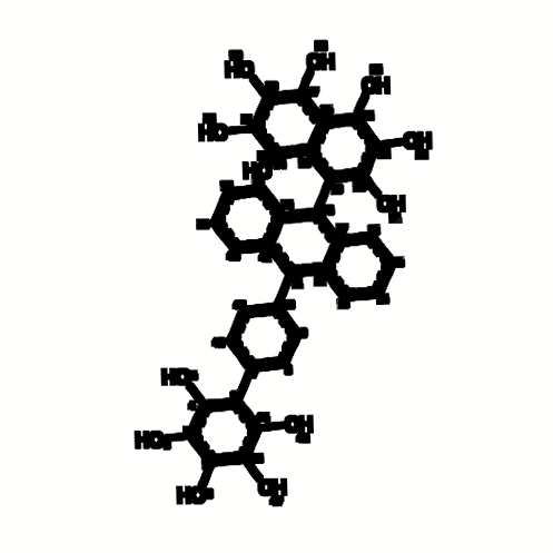 Oc1c(O)c(O)c(-c2ccc(-c3c4ccccc4c(-c4c(O)c(O)c(O)c5c(O)c(O)c(O)c(O)c45)c4ccccc34)cc2)c(O)c1O